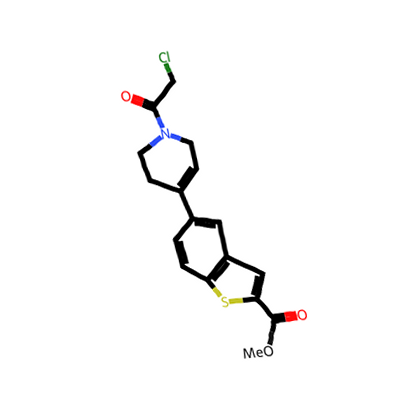 COC(=O)c1cc2cc(C3=CCN(C(=O)CCl)CC3)ccc2s1